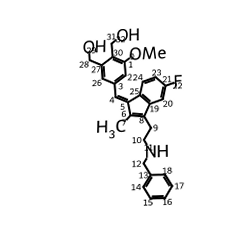 COc1cc(/C=C2/C(C)=C(CCNCc3ccccc3)c3cc(F)ccc32)cc(CO)c1CO